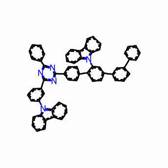 c1ccc(-c2cccc(-c3ccc(-c4ccc(-c5nc(-c6ccccc6)nc(-c6cccc(-n7c8ccccc8c8ccccc87)c6)n5)cc4)c(-n4c5ccccc5c5ccccc54)c3)c2)cc1